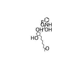 CC(=O)CCCCCC[C@@H]1[C@@H](CCC(O)C(=O)Nc2ccccc2F)[C@H](O)C[C@@H]1O